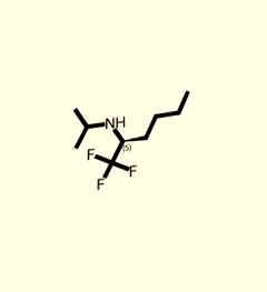 CCCC[C@H](NC(C)C)C(F)(F)F